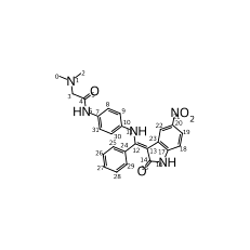 CN(C)CC(=O)Nc1ccc(NC(=C2C(=O)Nc3ccc([N+](=O)[O-])cc32)c2ccccc2)cc1